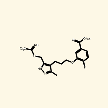 COC(=O)c1ccc(F)c(OCCCc2c(C)n[nH]c2COC(=N)C(Cl)(Cl)Cl)c1